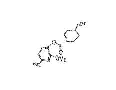 CCC[C@H]1CC[C@H](C(=O)Oc2ccc(C#N)cc2OC)CC1